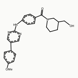 COc1ccc(-c2cnc(Nc3ccc(C(=O)N4CCCC(CO)C4)cc3)nc2)cc1